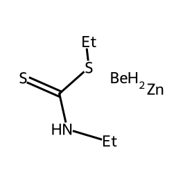 CCNC(=S)SCC.[BeH2].[Zn]